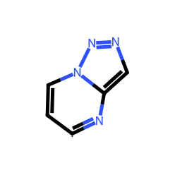 [c]1ccn2nncc2n1